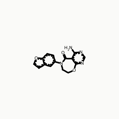 Nc1ncnc2c1C(=O)N(c1ccc3occc3c1)CCO2